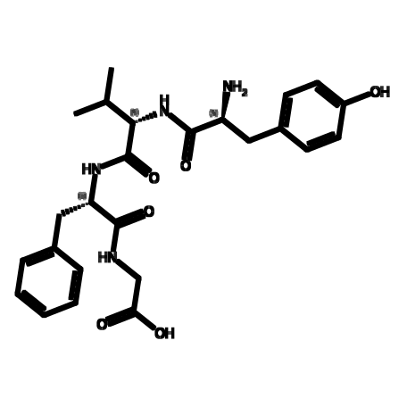 CC(C)[C@H](NC(=O)[C@@H](N)Cc1ccc(O)cc1)C(=O)N[C@@H](Cc1ccccc1)C(=O)NCC(=O)O